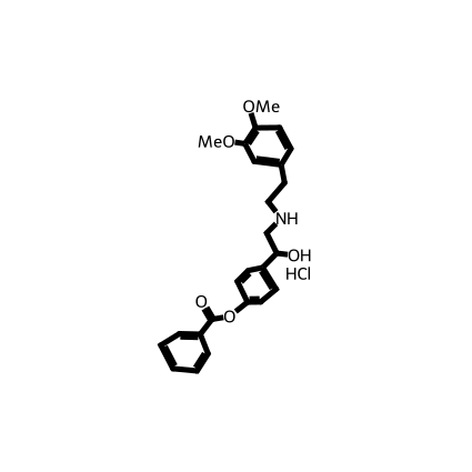 COc1ccc(CCNCC(O)c2ccc(OC(=O)c3ccccc3)cc2)cc1OC.Cl